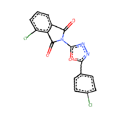 O=C1c2cccc(Cl)c2C(=O)N1c1nnc(-c2ccc(Cl)cc2)o1